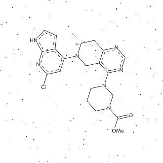 COC(=O)N1CCCN(c2ncnc3c2CN(c2cc(Cl)nc4[nH]ccc24)[C@H](C)C3)C1